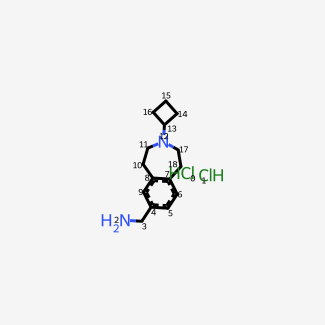 Cl.Cl.NCc1ccc2c(c1)CCN(C1CCC1)CC2